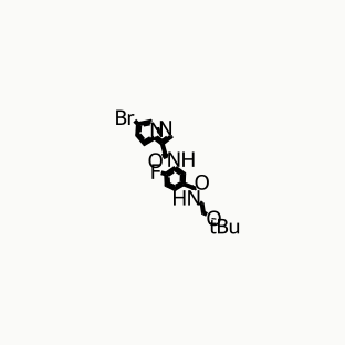 CC(C)(C)OCCNC(=O)c1ccc(F)c(NC(=O)c2cnn3cc(Br)ccc23)c1